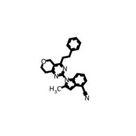 Cc1cc2c(C#N)cccc2n1-c1nc2c(c(CCc3ccccc3)n1)COCC2